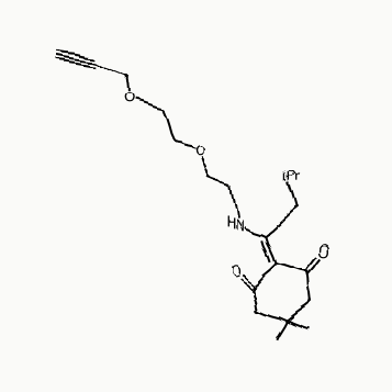 C#CCOCCOCCNC(CC(C)C)=C1C(=O)CC(C)(C)CC1=O